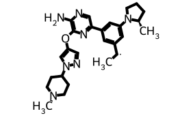 C[CH]c1cc(-c2cnc(N)c(Oc3cnn(C4CCN(C)CC4)c3)n2)cc(N2CCC[C@H]2C)c1